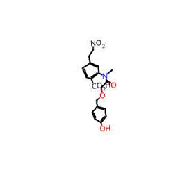 CN(C(=O)COCc1ccc(O)cc1)c1cc(CC[N+](=O)[O-])ccc1C(=O)O